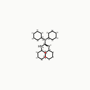 C1CCC(N=C(NC2CCCCC2)N(C2CCCCC2)C2CCCCC2)CC1